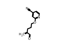 C=C(C=O)CCCOc1cc(C#N)ccn1